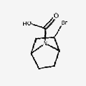 O=C(O)N1C2CCC1C(Br)C2